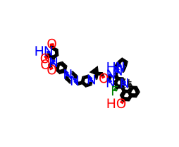 CCc1cccc2cc(O)cc(-c3ncc4c(N5CC6CCC(C5)N6)nc(OCC5(CN6CCC(CN7CCN(c8ccc9c(c8)oc(=O)n9C8CCC(=O)NC8=O)CC7)CC6)CC5)nc4c3F)c12